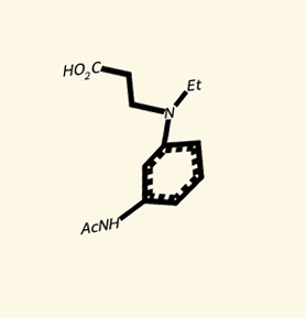 CCN(CCC(=O)O)c1cccc(NC(C)=O)c1